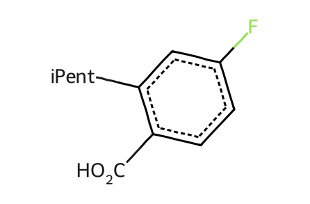 CCCC(C)c1cc(F)ccc1C(=O)O